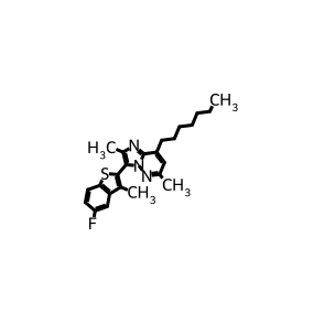 CCCCCCCc1cc(C)nn2c(-c3sc4ccc(F)cc4c3C)c(C)nc12